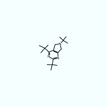 CC(C)(C)c1nc2c(c(C(C)(C)C)n1)CN(C(C)(C)C)C2